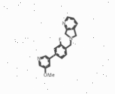 COc1cncc(-c2ccc(CN3Cc4cccnc4C3)c(F)c2)c1